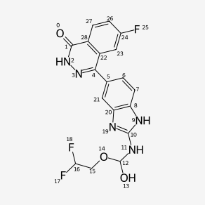 O=c1[nH]nc(-c2ccc3[nH]c(NC(O)OCC(F)F)nc3c2)c2cc(F)ccc12